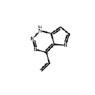 C=Cc1nn[nH]c2ccnc1-2